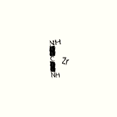 N=C=N.[Zr]